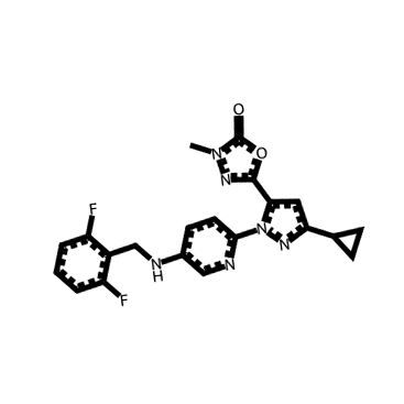 Cn1nc(-c2cc(C3CC3)nn2-c2ccc(NCc3c(F)cccc3F)cn2)oc1=O